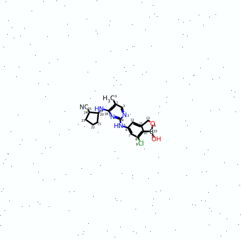 Cc1cnc(Nc2cc(Cl)c3c(c2)COB3O)nc1NC1CCCC1C#N